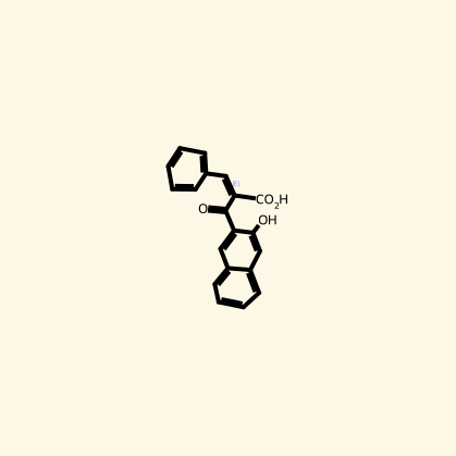 O=C(O)/C(=C/c1ccccc1)C(=O)c1cc2ccccc2cc1O